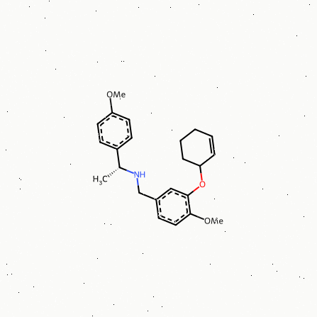 COc1ccc([C@@H](C)NCc2ccc(OC)c(OC3C=CCCC3)c2)cc1